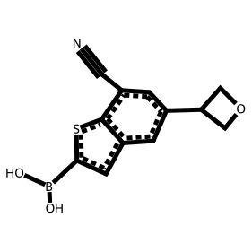 N#Cc1cc(C2COC2)cc2cc(B(O)O)sc12